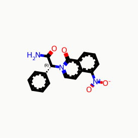 NC(=O)[C@@H](c1ccccc1)n1ccc2c([N+](=O)[O-])cccc2c1=O